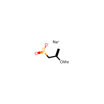 C=C(C[PH](=O)[O-])OC.[Na+]